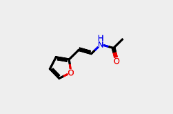 CC(=O)NC=Cc1ccco1